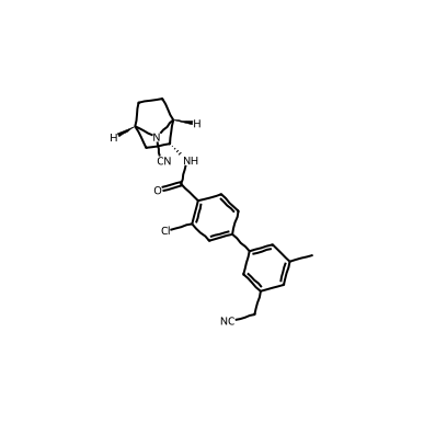 Cc1cc(CC#N)cc(-c2ccc(C(=O)N[C@@H]3C[C@@H]4CC[C@H]3N4C#N)c(Cl)c2)c1